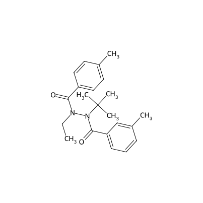 CCN(C(=O)c1ccc(C)cc1)N(C(=O)c1cccc(C)c1)C(C)(C)C